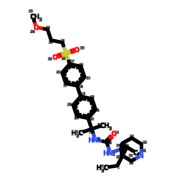 CCC1(NC(=O)NC(C)(C)c2ccc(-c3ccc(S(=O)(=O)CCCOC)cc3)cc2)CN2CCC1CC2